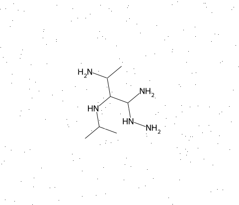 CC(C)NC(C(C)N)C(N)NN